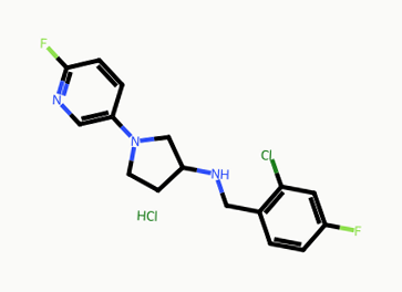 Cl.Fc1ccc(CNC2CCN(c3ccc(F)nc3)C2)c(Cl)c1